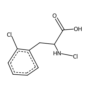 O=C(O)C(Cc1ccccc1Cl)NCl